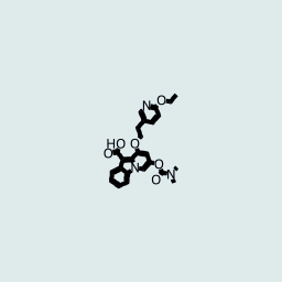 CCOc1ccc(CCOc2cc(OC(=O)N(C)C)cn3c2c(C(=O)O)c2ccccc23)cn1